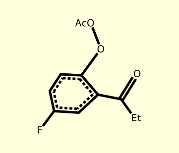 CCC(=O)c1cc(F)ccc1OOC(C)=O